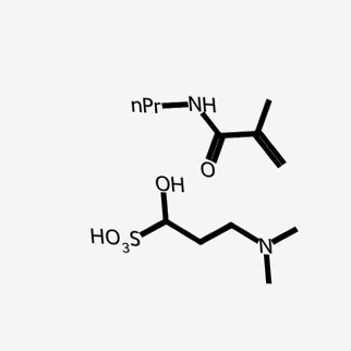 C=C(C)C(=O)NCCC.CN(C)CCC(O)S(=O)(=O)O